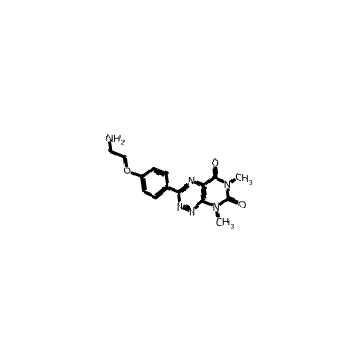 Cn1c(=O)c2nc(-c3ccc(OCCN)cc3)nnc2n(C)c1=O